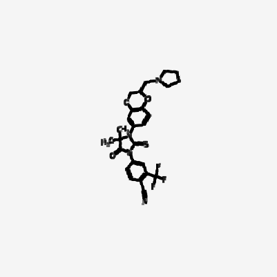 CC1(C)C(=O)N(c2ccc(C#N)c(C(F)(F)F)c2)C(=S)N1c1ccc2c(c1)OCC(CN1CCCC1)O2